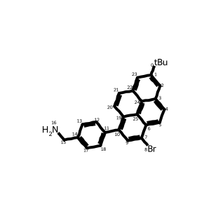 CC(C)(C)c1cc2ccc3c(Br)cc(-c4ccc(CN)cc4)c4ccc(c1)c2c34